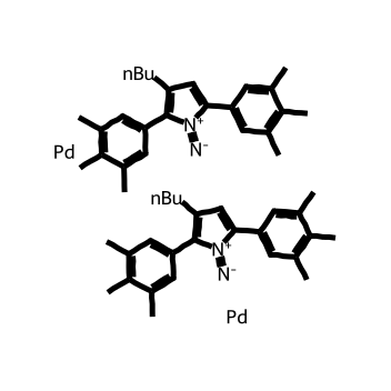 CCCCC1=C(c2cc(C)c(C)c(C)c2)[N+](=[N-])C(c2cc(C)c(C)c(C)c2)=C1.CCCCC1=C(c2cc(C)c(C)c(C)c2)[N+](=[N-])C(c2cc(C)c(C)c(C)c2)=C1.[Pd].[Pd]